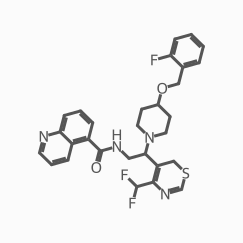 O=C(NCC(C1=C(C(F)F)N=CSC1)N1CCC(OCc2ccccc2F)CC1)c1cccc2ncccc12